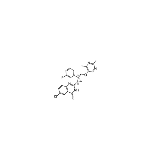 Cc1ncc(OC[C@@]2(c3cccc(F)c3)C[C@H]2c2nc3ccc(Cl)cc3c(=O)[nH]2)c(C)n1